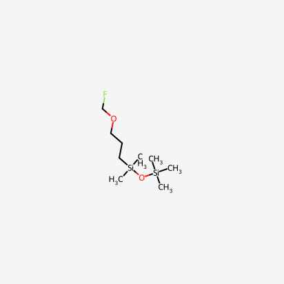 C[Si](C)(C)O[Si](C)(C)CCCOCF